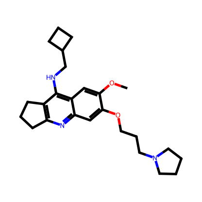 COc1cc2c(NCC3CCC3)c3c(nc2cc1OCCCN1CCCC1)CCC3